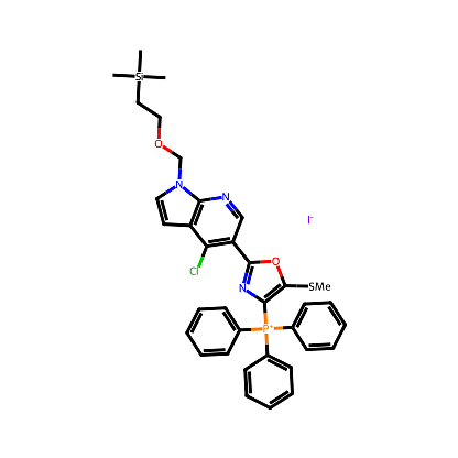 CSc1oc(-c2cnc3c(ccn3COCC[Si](C)(C)C)c2Cl)nc1[P+](c1ccccc1)(c1ccccc1)c1ccccc1.[I-]